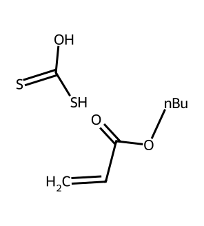 C=CC(=O)OCCCC.OC(=S)S